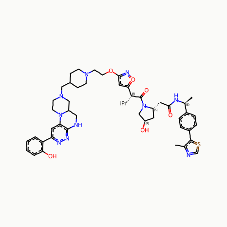 Cc1ncsc1-c1ccc([C@H](C)NC(=O)C[C@@H]2C[C@@H](O)CN2C(=O)[C@@H](c2cc(OCCN3CCC(CN4CCN5c6cc(-c7ccccc7O)nnc6NCC5C4)CC3)no2)C(C)C)cc1